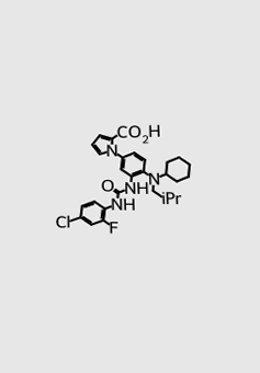 CC(C)CN(c1ccc(-n2cccc2C(=O)O)cc1NC(=O)Nc1ccc(Cl)cc1F)C1CCCCC1